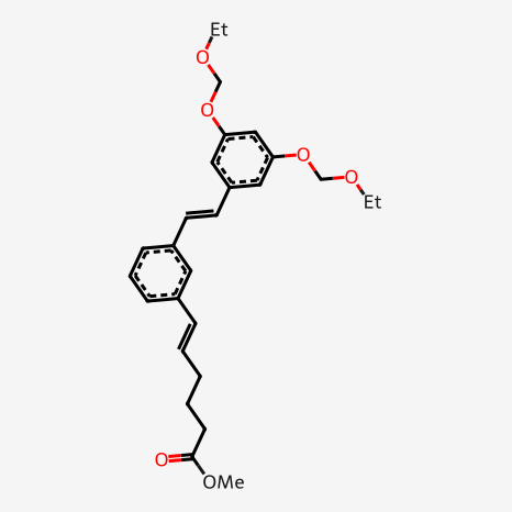 CCOCOc1cc(C=Cc2cccc(C=CCCCC(=O)OC)c2)cc(OCOCC)c1